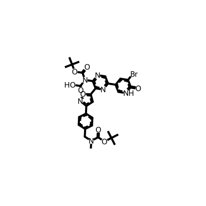 CN(Cc1ccc(-c2cc(-c3nc(-c4c[nH]c(=O)c(Br)c4)cnc3N(C(=O)O)C(=O)OC(C)(C)C)on2)cc1)C(=O)OC(C)(C)C